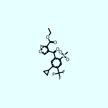 CCOC(=O)c1nocc1C(=O)c1cc(C2CC2)c(C(F)(F)F)cc1S(C)(=O)=O